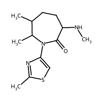 CNC1CCC(C)C(C)N(c2csc(C)n2)C1=O